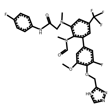 COc1cc(-c2cc(C(F)(F)F)cc(N(C)CC(=O)Nc3ccc(F)cc3)c2N(C)C=O)cc(F)c1OCc1nnc[nH]1